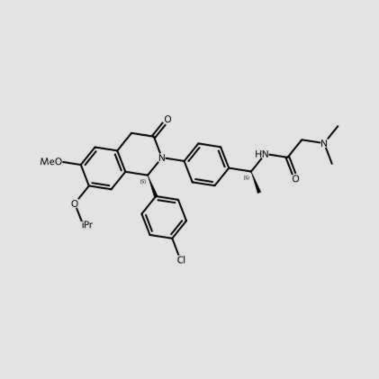 COc1cc2c(cc1OC(C)C)[C@H](c1ccc(Cl)cc1)N(c1ccc([C@H](C)NC(=O)CN(C)C)cc1)C(=O)C2